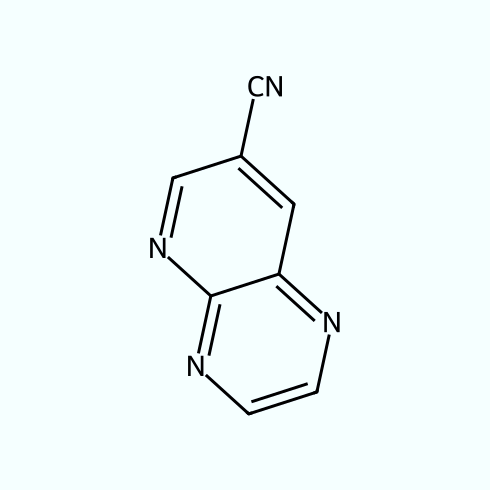 N#Cc1cnc2nccnc2c1